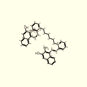 Nc1c(O)cc2ccccc2c1N=Nc1cccc[n+]1CCCCCC[n+]1ccccc1/N=N\c1c(N)c(O)cc2ccccc12